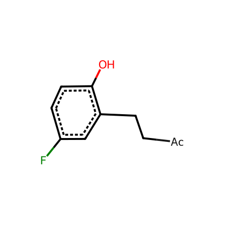 CC(=O)CCc1cc(F)ccc1O